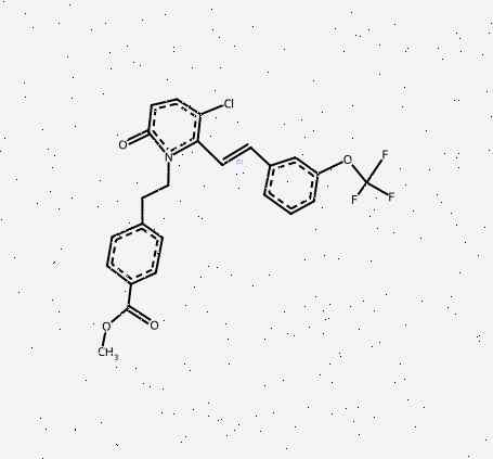 COC(=O)c1ccc(CCn2c(/C=C/c3cccc(OC(F)(F)F)c3)c(Cl)ccc2=O)cc1